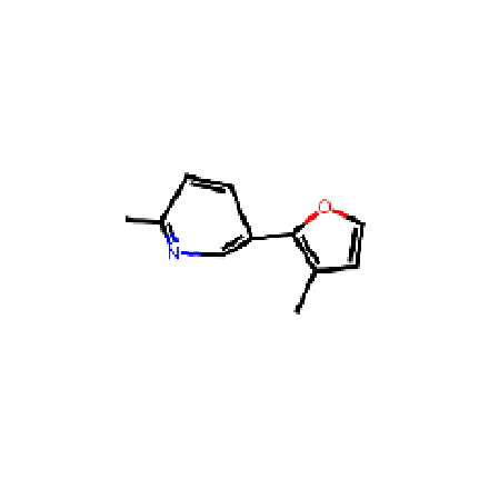 Cc1ccc(-c2occc2C)cn1